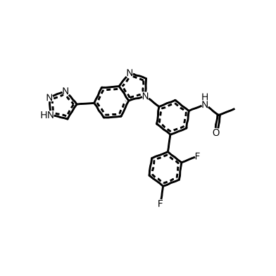 CC(=O)Nc1cc(-c2ccc(F)cc2F)cc(-n2cnc3cc(-c4c[nH]nn4)ccc32)c1